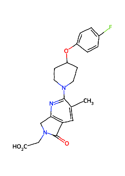 Cc1cc2c(nc1N1CCC(Oc3ccc(F)cc3)CC1)CN(CC(=O)O)C2=O